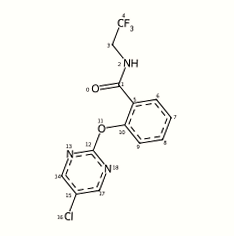 O=C(NCC(F)(F)F)c1ccccc1Oc1ncc(Cl)cn1